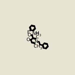 Cc1cc(=O)c(C(=O)Nc2ccccc2F)c(C)n1CCc1ccccc1